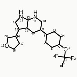 FC(F)(F)OC1CCC(C2CNC3NCC(C4CCOC4)C3C2)CC1